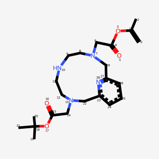 C=C(C)OC(=O)CN1CCNCCN(CC(=O)OC(C)(C)C)Cc2cccc(n2)C1